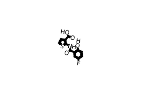 O=C(Nc1sccc1C(=O)O)c1cc(F)ccc1O